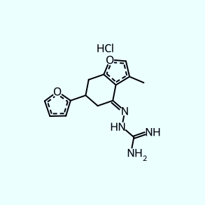 Cc1coc2c1/C(=N/NC(=N)N)CC(c1ccco1)C2.Cl